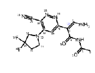 CC(=O)NC(=O)/C(=C\N)c1cc(N2CCC(F)(F)C2)c(C#N)nn1